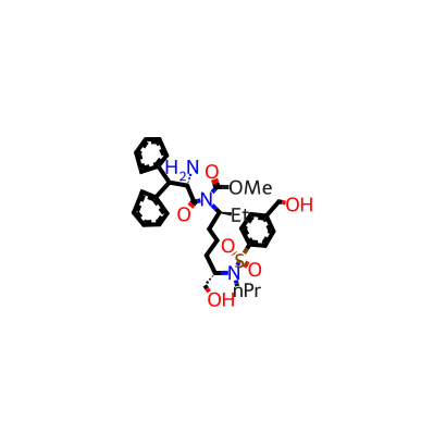 CCCN([C@H](CO)CCC[C@H](CC)N(C(=O)OC)C(=O)[C@@H](N)C(c1ccccc1)c1ccccc1)S(=O)(=O)c1ccc(CO)cc1